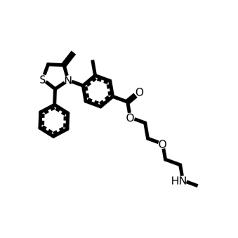 C=C1CSC(c2ccccc2)N1c1ccc(C(=O)OCCOCCNC)cc1C